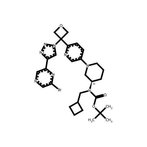 CC(C)(C)OC(=O)N(CC1CCC1)[C@@H]1CCCN(c2ccc(C3(n4cc(-c5cncc(Br)n5)nn4)COC3)nc2)C1